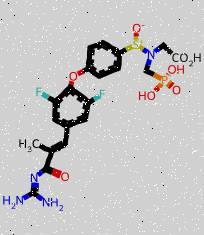 C/C(=C\c1cc(F)c(Oc2ccc([S+]([O-])N(CC(=O)O)CP(=O)(O)O)cc2)c(F)c1)C(=O)N=C(N)N